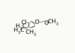 COCCOc1ccc(C(C)(C)C)c(Cl)c1